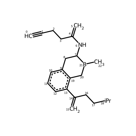 C#CCCC(=C)NC1Cc2cccc(C(=C)CCC(C)C)c2CB1C